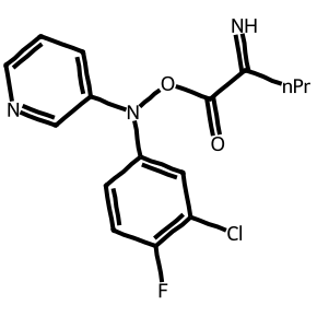 CCCC(=N)C(=O)ON(c1cccnc1)c1ccc(F)c(Cl)c1